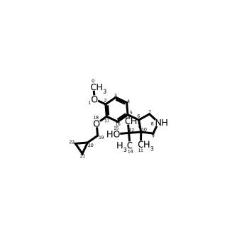 COc1ccc(C2CNCC2(C)C(C)(C)O)cc1OCC1CC1